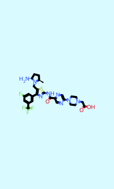 C[C@@H]1CC[C@@H](N)N1Cc1sc(NC(=O)c2cnc(N3CCN(CC(=O)O)CC3)cn2)nc1-c1cc(F)cc(C(F)(F)F)c1